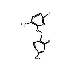 Cc1ccc(Cl)nc1OCc1ccc(C#N)cc1F